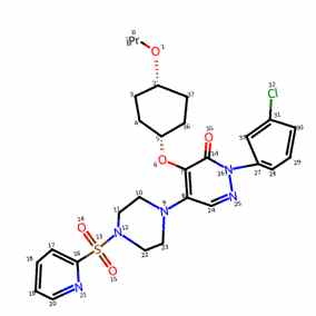 CC(C)O[C@H]1CC[C@@H](Oc2c(N3CCN(S(=O)(=O)c4ccccn4)CC3)cnn(-c3cccc(Cl)c3)c2=O)CC1